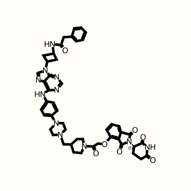 O=C1CC[C@H](N2C(=O)c3cccc(OCC(=O)N4CCC(CN5CCN(c6ccc(Nc7ncnc8c7ncn8C7CC(NC(=O)Cc8ccccc8)C7)cc6)CC5)CC4)c3C2=O)C(=O)N1